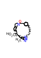 Cc1c2ccc3c1nnn3CCCCCCc1ccc(cc1)C(=O)N1CCc3ccc(cc3C1)[C@H]2CC(=O)O